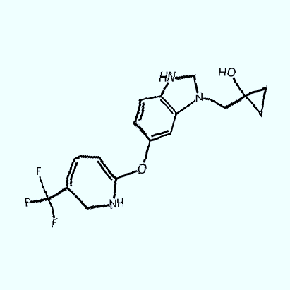 OC1(CN2CNc3ccc(OC4=CC=C(C(F)(F)F)CN4)cc32)CC1